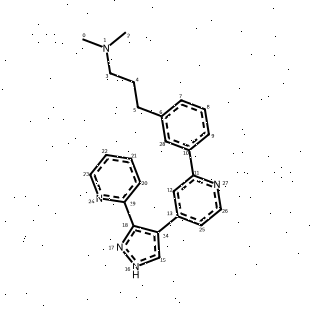 CN(C)CCCc1cccc(-c2cc(-c3c[nH]nc3-c3ccccn3)ccn2)c1